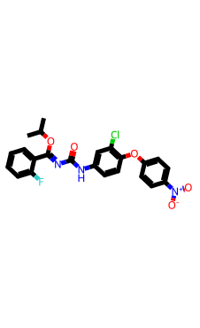 CC(C)O/C(=N\C(=O)Nc1ccc(Oc2ccc([N+](=O)[O-])cc2)c(Cl)c1)c1ccccc1F